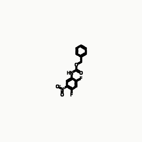 O=C(Nc1cc([N+](=O)[O-])c(F)cc1F)OCc1ccccc1